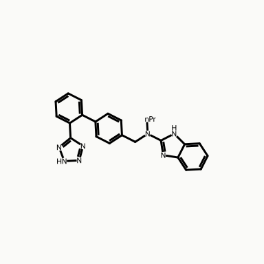 CCCN(Cc1ccc(-c2ccccc2-c2nn[nH]n2)cc1)c1nc2ccccc2[nH]1